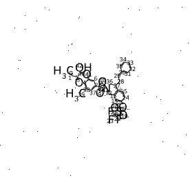 CCC(Oc1ccc(S(=O)(=O)N2Cc3cc(OS(=O)(=O)C(F)(F)F)ccc3C(CCc3ccccc3)C2)cc1C)C(=O)O